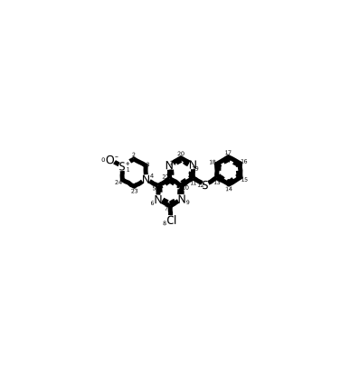 [O-][S+]1CCN(c2nc(Cl)nc3c(Sc4ccccc4)ncnc23)CC1